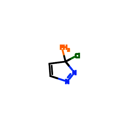 PC1(Cl)C=CN=N1